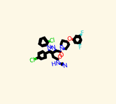 N#CNC(=O)Cc1c(C(=O)N2CCC(Oc3cc(F)cc(F)c3)CC2)nn(-c2ccccc2Cl)c1-c1ccc(Cl)cc1